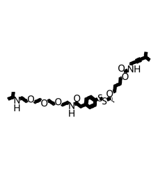 CC(C)C#CCNC(=O)OCCCCO[C@H](C)SSc1ccc(CC(=O)NCCOCCOCCOCCNC(C)C)cc1